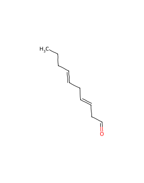 CCCC=CCC=CCC=O